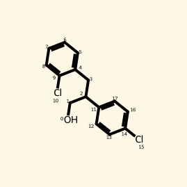 OCC(Cc1ccccc1Cl)c1ccc(Cl)cc1